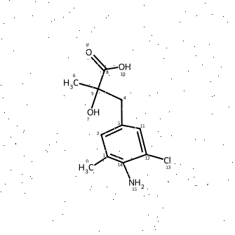 Cc1cc(CC(C)(O)C(=O)O)cc(Cl)c1N